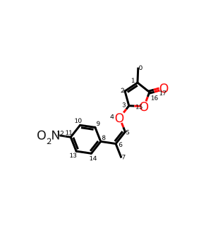 CC1=CC(O/C=C(/C)c2ccc([N+](=O)[O-])cc2)OC1=O